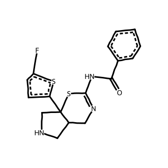 O=C(NC1=NCC2CNCC2(c2ccc(F)s2)S1)c1ccccc1